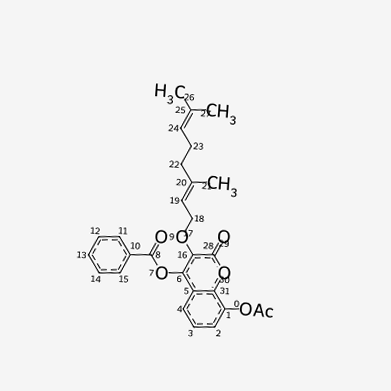 CC(=O)Oc1cccc2c(OC(=O)c3ccccc3)c(OC/C=C(\C)CCC=C(C)C)c(=O)oc12